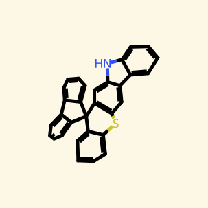 c1ccc2c(c1)Sc1cc3c(cc1C21c2ccccc2-c2ccccc21)[nH]c1ccccc13